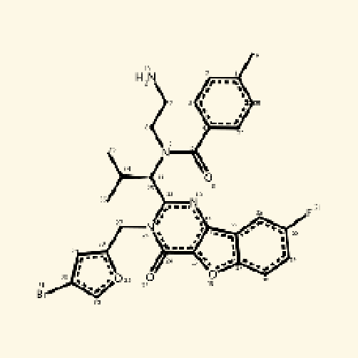 Cc1ccc(C(=O)N(CCN)[C@@H](c2nc3c(oc4ccc(F)cc43)c(=O)n2Cc2cc(Br)co2)C(C)C)cc1